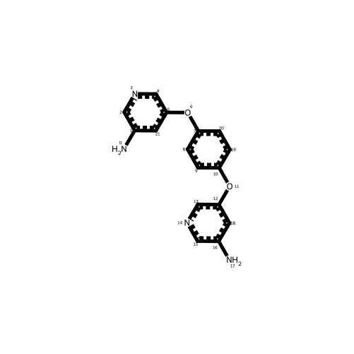 Nc1cncc(Oc2ccc(Oc3cncc(N)c3)cc2)c1